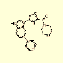 O=C(c1nc(-c2c[nH]c3ncc(-c4ccccc4)cc23)cs1)N1CCOCC1